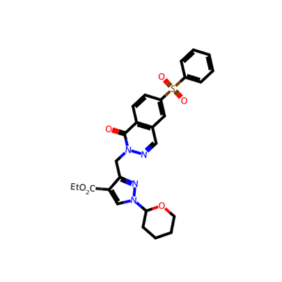 CCOC(=O)c1cn(C2CCCCO2)nc1Cn1ncc2cc(S(=O)(=O)c3ccccc3)ccc2c1=O